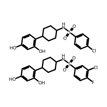 O=S(=O)(NC1CCC(c2ccc(O)cc2O)CC1)c1ccc(Cl)cc1.O=S(=O)(NC1CCC(c2ccc(O)cc2O)CC1)c1ccc(F)c(Cl)c1